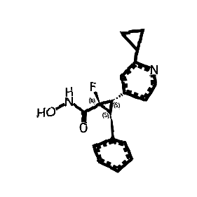 O=C(NO)[C@@]1(F)[C@H](c2ccccc2)[C@H]1c1ccnc(C2CC2)c1